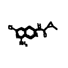 CC1CC1C(=O)Nc1cc2cc(Cl)nc(N)c2cn1